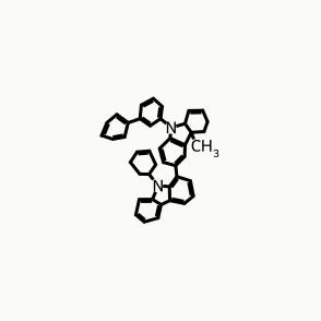 CC12CCC=CC1N(c1cccc(-c3ccccc3)c1)c1ccc(-c3cccc4c5ccccc5n(C5CC=CCC5)c34)cc12